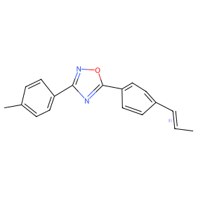 C/C=C/c1ccc(-c2nc(-c3ccc(C)cc3)no2)cc1